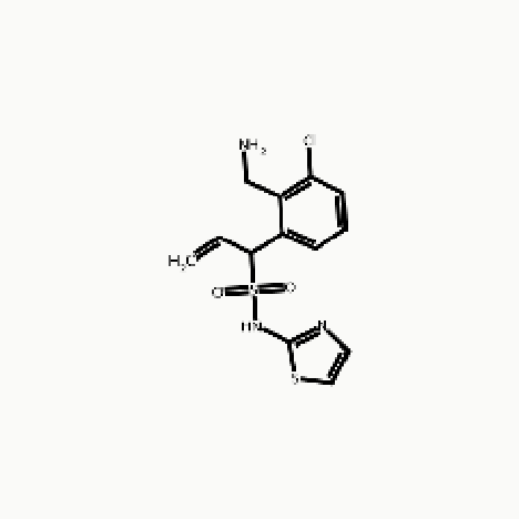 C=CC(c1cccc(Cl)c1CN)S(=O)(=O)Nc1nccs1